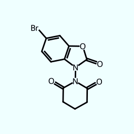 O=C1CCCC(=O)N1n1c(=O)oc2cc(Br)ccc21